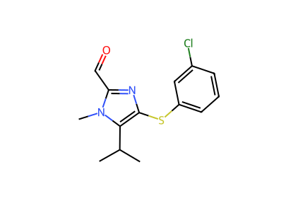 CC(C)c1c(Sc2cccc(Cl)c2)nc(C=O)n1C